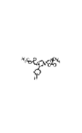 COC(=O)CN1CCN(C2CN(C)C(=O)O2)CC1C1CCNCC1